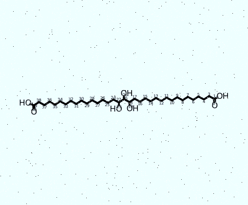 O=C(O)CCCCCCCCCCCCCCCC(O)C(O)C(O)CCCCCCCCCCCCCCCC(=O)O